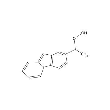 CC(OO)c1ccc2c(c1)C=C1C=CC=CC12